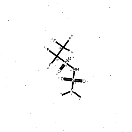 CN(C)S(=O)(=O)NS(=O)(=O)C(F)(F)C(F)(F)F